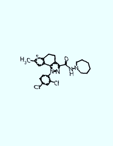 Cc1cc2c(s1)CCc1c(C(=O)NN3CCCCCC3)nn(-c3ccc(Cl)cc3Cl)c1-2